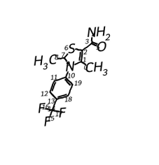 CC1=C(C(N)=O)SC(C)N1c1ccc(C(F)(F)F)cc1